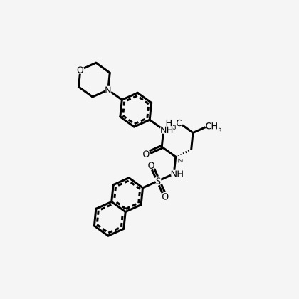 CC(C)C[C@H](NS(=O)(=O)c1ccc2ccccc2c1)C(=O)Nc1ccc(N2CCOCC2)cc1